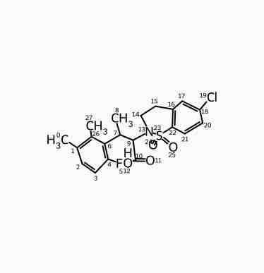 Cc1ccc(F)c(C(C)C(C(=O)O)N2CCc3cc(Cl)ccc3S2(=O)=O)c1C